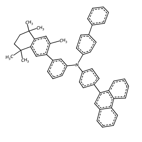 Cc1cc2c(cc1-c1cccc(N(c3ccc(-c4ccccc4)cc3)c3ccc(-c4cc5ccccc5c5ccccc45)cc3)c1)C(C)(C)CCC2(C)C